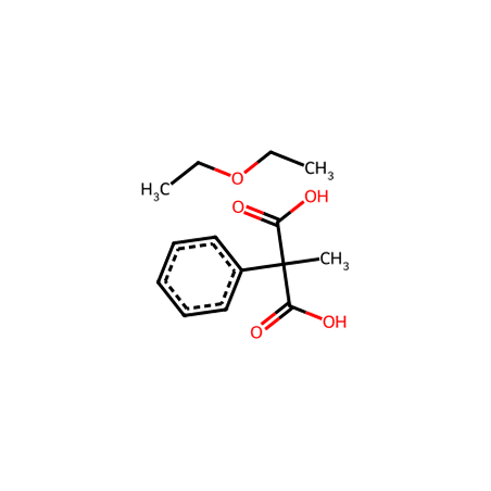 CC(C(=O)O)(C(=O)O)c1ccccc1.CCOCC